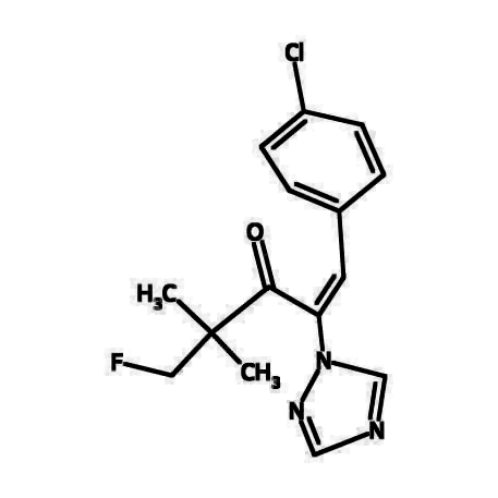 CC(C)(CF)C(=O)/C(=C\c1ccc(Cl)cc1)n1cncn1